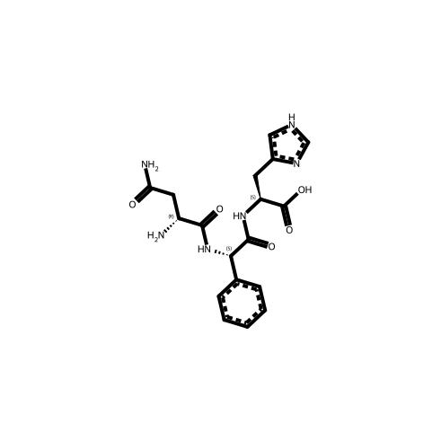 NC(=O)C[C@@H](N)C(=O)N[C@H](C(=O)N[C@@H](Cc1c[nH]cn1)C(=O)O)c1ccccc1